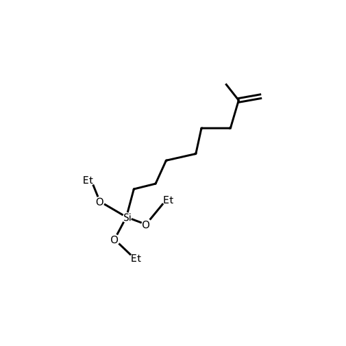 C=C(C)CCCCCC[Si](OCC)(OCC)OCC